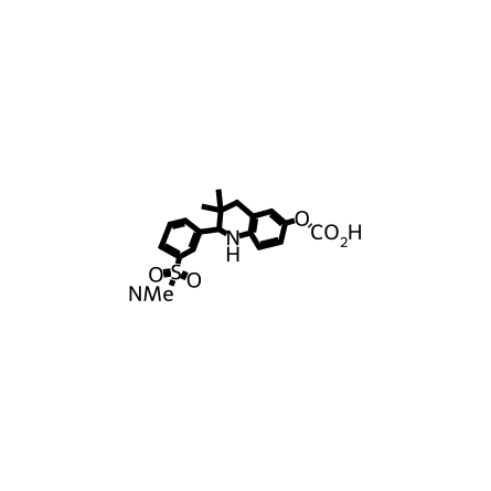 CNS(=O)(=O)c1cccc(C2Nc3ccc(OC(=O)O)cc3CC2(C)C)c1